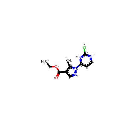 CCOC(=O)c1cnn(-c2ccnc(Cl)n2)c1C